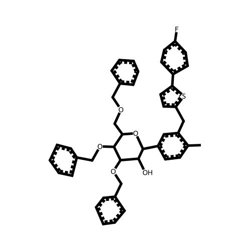 Cc1ccc(C2OC(COCc3ccccc3)C(OCc3ccccc3)C(OCc3ccccc3)C2O)cc1Cc1ccc(-c2ccc(F)cc2)s1